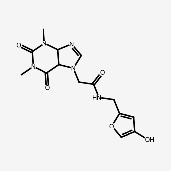 CN1C(=O)C2C(N=CN2CC(=O)NCc2cc(O)co2)N(C)C1=O